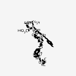 Cc1ccc(CCCC(=O)NCCCC[C@H](NC(=O)CN2CCN(CC(=O)O)CCN(CC(=O)O)CCN(CC(=O)O)CC2)C(=O)NC(=O)C(C)(C)CC(C)(C)C(=O)N2CCN(CCCCOc3ccc4nccc(C(=O)NCC(=O)N5CC(F)(F)C[C@@H]5C#N)c4c3)CC2)cc1